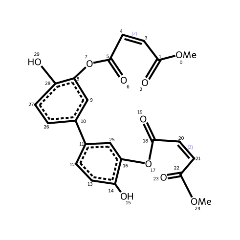 COC(=O)/C=C\C(=O)Oc1cc(-c2ccc(O)c(OC(=O)/C=C\C(=O)OC)c2)ccc1O